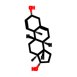 C[C@]12CC[C@H]3[C@@H](CC=C4C[C@@H](O)C=C[C@@]43C)[C@@H]1CC[C@@H]2O